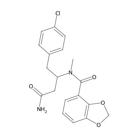 CN(C(=O)c1cccc2c1OCO2)C(CC(N)=O)Cc1ccc(Cl)cc1